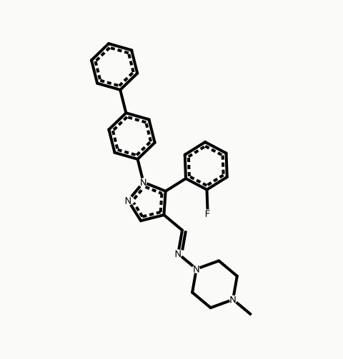 CN1CCN(/N=C/c2cnn(-c3ccc(-c4ccccc4)cc3)c2-c2ccccc2F)CC1